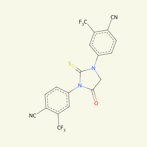 N#Cc1ccc(N2CC(=O)N(c3ccc(C#N)c(C(F)(F)F)c3)C2=S)cc1C(F)(F)F